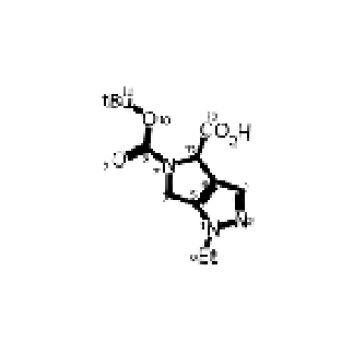 CCn1ncc2c1CN(C(=O)OC(C)(C)C)C2C(=O)O